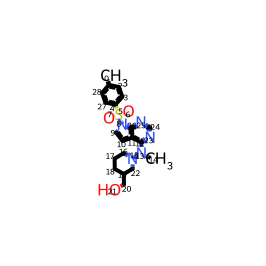 Cc1ccc(S(=O)(=O)n2ccc3c(N(C)N4CCCC(CO)C4)ncnc32)cc1